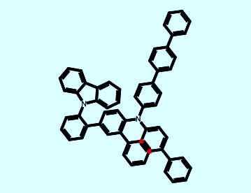 c1ccc(-c2ccc(-c3ccc(N(c4ccc(-c5ccccc5)cc4)c4ccc(-c5ccccc5-n5c6ccccc6c6ccccc65)cc4-c4ccccc4)cc3)cc2)cc1